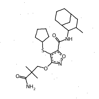 CC1CC2CCCC(C2)C1NC(=O)c1onc(OCC(C)(C)C(N)=O)c1SC1CCCC1